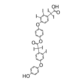 O=C(Oc1ccc(Oc2ccc(C(I)(I)C(=O)O)c(I)c2I)cc1)C(I)(I)c1ccc(Oc2ccc(O)cc2)cc1I